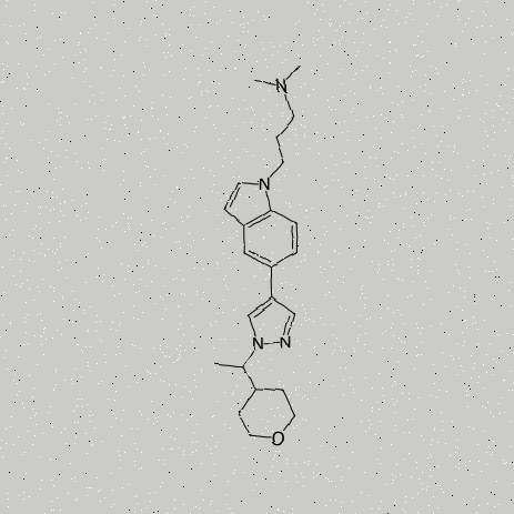 CC(C1CCOCC1)n1cc(-c2ccc3c(ccn3CCCN(C)C)c2)cn1